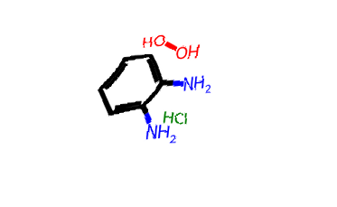 Cl.Nc1ccccc1N.OO